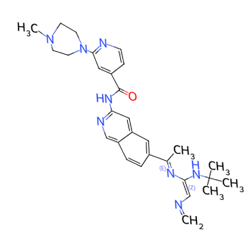 C=N/C=C(\N=C(/C)c1ccc2cnc(NC(=O)c3ccnc(N4CCN(C)CC4)c3)cc2c1)NC(C)(C)C